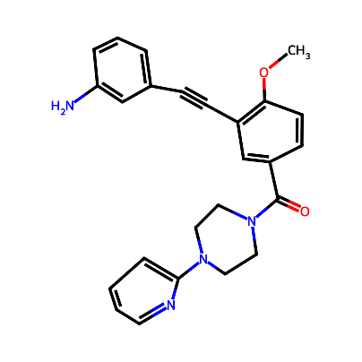 COc1ccc(C(=O)N2CCN(c3ccccn3)CC2)cc1C#Cc1cccc(N)c1